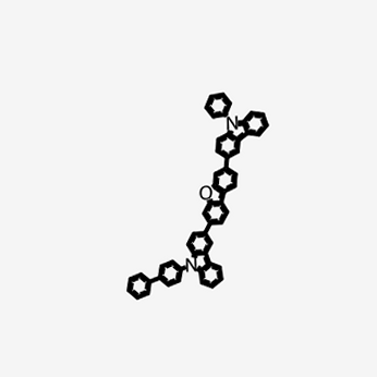 c1ccc(-c2ccc(-n3c4ccccc4c4cc(-c5ccc6c(c5)oc5cc(-c7ccc8c(c7)c7ccccc7n8-c7ccccc7)ccc56)ccc43)cc2)cc1